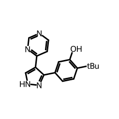 CC(C)(C)c1ccc(-c2n[nH]cc2-c2ccncn2)cc1O